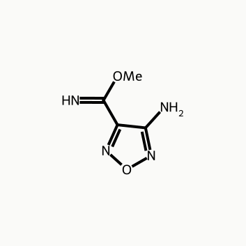 COC(=N)c1nonc1N